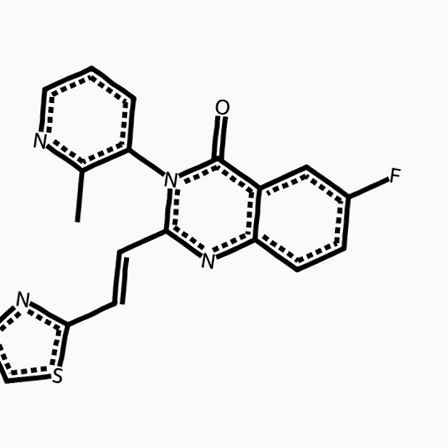 Cc1ncccc1-n1c(/C=C/c2nccs2)nc2ccc(F)cc2c1=O